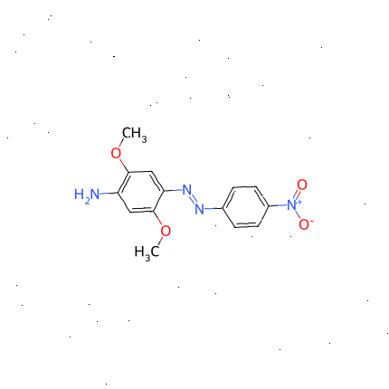 COc1cc(N=Nc2ccc([N+](=O)[O-])cc2)c(OC)cc1N